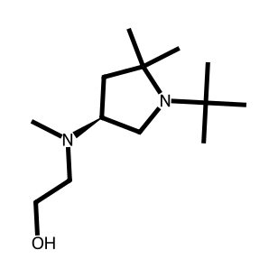 CN(CCO)[C@@H]1CN(C(C)(C)C)C(C)(C)C1